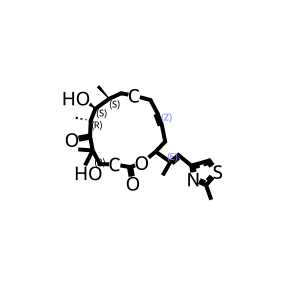 C/C(=C\c1csc(C)n1)C1C/C=C\CCC[C@H](C)[C@H](O)[C@@H](C)C(=O)C(C)(C)[C@H](O)CC(=O)O1